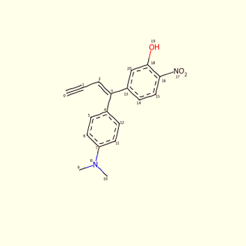 C#C/C=C(\c1ccc(N(C)C)cc1)c1ccc([N+](=O)[O-])c(O)c1